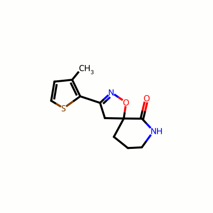 Cc1ccsc1C1=NOC2(CCCNC2=O)C1